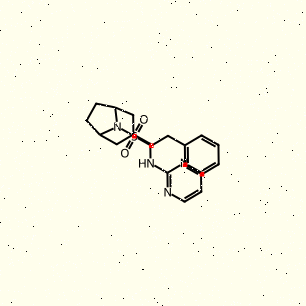 O=S(=O)(CCc1ccccc1)N1C2CCC1CC(CNc1ncccn1)C2